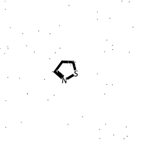 [C]1=NS[CH]C1